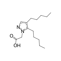 CCCCCc1cnn(CC(=O)O)c1CCCCC